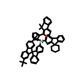 CC(C)(C)c1ccc2c(c1)C1(c3ccccc3-c3ccc(N(c4ccc5c(c4)C4(CCCCC4)c4ccccc4-5)c4ccccc4-c4cccc5c4C(C)(C)c4ccccc4-5)cc31)c1cc(C(C)(C)C)ccc1-2